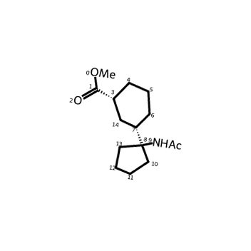 COC(=O)[C@@H]1CCC[C@H](C2(NC(C)=O)CCCC2)C1